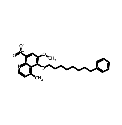 COc1cc([N+](=O)[O-])c2nccc(C)c2c1OCCCCCCCCc1ccccc1